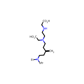 C=C(CCN(CC)CCC)CCN(CCNCC(=O)O)CC(=O)O